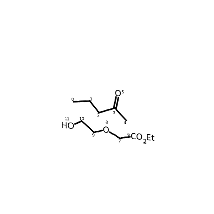 CCCC(C)=O.CCOC(=O)COCCO